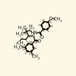 CCCC(N(NC(=O)c1ccc(OC)cc1)C(=O)c1cc(C)cc(C)c1)C(C)(C)C